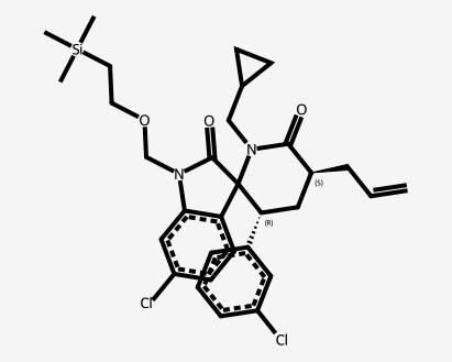 C=CC[C@H]1C[C@H](c2cccc(Cl)c2)C2(C(=O)N(COCC[Si](C)(C)C)c3cc(Cl)ccc32)N(CC2CC2)C1=O